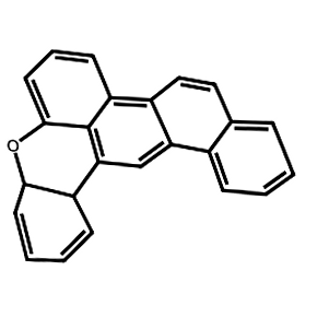 C1=CC2Oc3cccc4c3c(cc3c5ccccc5ccc43)C2C=C1